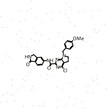 COc1ccc(CN2CCc3c(Cl)nc(C(=O)Nc4ccc5c(c4)CNC5=O)nc32)cc1